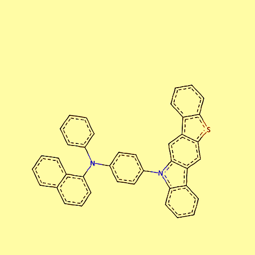 c1ccc(N(c2ccc(-n3c4ccccc4c4cc5sc6ccccc6c5cc43)cc2)c2cccc3ccccc23)cc1